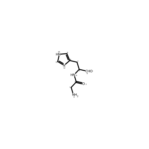 NCC(=O)NC([C]=O)Cc1c[nH]cn1